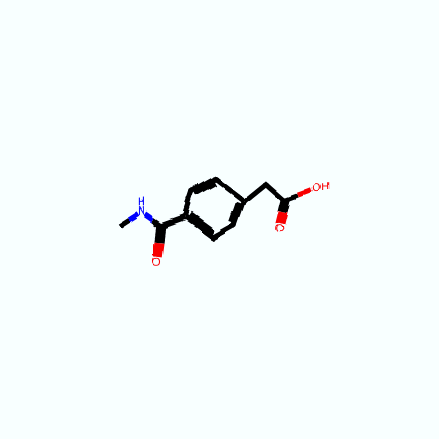 CNC(=O)c1ccc(CC(=O)O)cc1